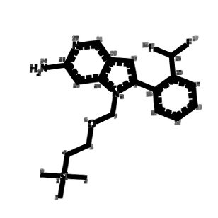 C[Si](C)(C)CCOCn1c(-c2ccccc2C(F)F)cc2cnc(N)cc21